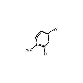 CCC1=[N+](C)C=CC(C(C)C)C1